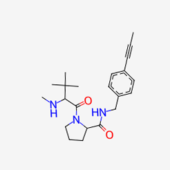 CC#Cc1ccc(CNC(=O)C2CCCN2C(=O)C(NC)C(C)(C)C)cc1